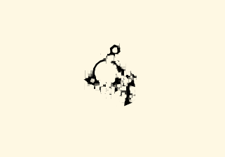 CC(C)(C)[C@@H]1NC(=O)O[C@@H]2C[C@@H]3C[C@@H]3[C@H]2CCCCCn2c(nc3cc(Cl)ccc3c2=O)O[C@@H]2C[C@@H](C(=O)N[C@]3(C(=O)NS(=O)(=O)C4(C)CC4)C[C@H]3C(F)F)N(C2)C1=O